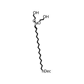 CCCCCCCCCCCCCCCCCCCCCCCCCC=CN(OCCO)OCCO